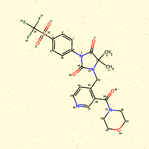 CC1(C)C(=O)N(c2ccc(S(=O)(=O)C(F)(F)F)cc2)C(=O)N1Cc1ccncc1C(=O)N1CCOCC1